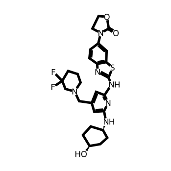 O=C1OCCN1c1ccc2nc(Nc3cc(CN4CCCC(F)(F)C4)cc(N[C@H]4CC[C@H](O)CC4)n3)sc2c1